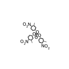 Cc1cc(OP(=O)(Oc2ccc([N+](=O)[O-])c(C)c2)Oc2ccc([N+](=O)[O-])c(C)c2)ccc1[N+](=O)[O-]